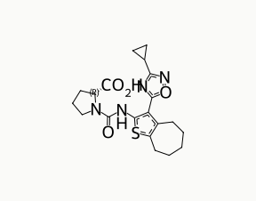 O=C(O)[C@H]1CCCN1C(=O)Nc1sc2c(c1-c1nc(C3CC3)no1)CCCCC2